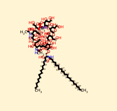 CCCCCCCCCCCCC/C=C/[C@@H](O)[C@H](CO[C@@H]1OC(CO)[C@@H](O[C@@H]2OC(CO)[C@H](O[C@@H]3OC(CO)[C@H](O)[C@H](O[C@@H]4OC(CO)[C@H](O)[C@H](O[C@@H]5OC(CO)[C@H](O)[C@H](O[C@]6(C(=O)O)CC(O)[C@@H](NC(C)=O)C([C@H](O)[C@@H](CO)O[C@]7(C(=O)O)CC(O)[C@@H](NC(C)=O)C([C@H](O)[C@H](O)CO)O7)O6)C5O)C4NC(C)=O)C3O)[C@H](O)C2O)[C@H](O)C1O)NC(=O)CCCCCCCCCCCCCCCCCCCCC